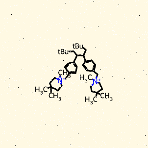 CC(C)(C)CC(c1ccc(C[N+]2(C)CCC(C)(C)CC2)cc1)C(CC(C)(C)C)c1ccc(C[N+]2(C)CCC(C)(C)CC2)cc1